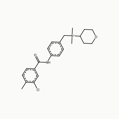 Cc1ccc(C(=O)Nc2ccc(C[N+](C)(C)C3CCOCC3)cc2)cc1Cl